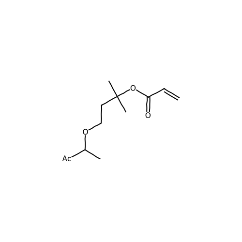 C=CC(=O)OC(C)(C)CCOC(C)C(C)=O